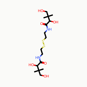 CC(C)(CO)C(O)C(=O)NCCSSCCNC(=O)C(O)C(C)(C)CO